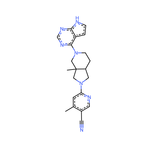 Cc1cc(N2CC3CCN(c4ncnc5[nH]ccc45)CC3(C)C2)ncc1C#N